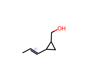 C/C=C/C1CC1CO